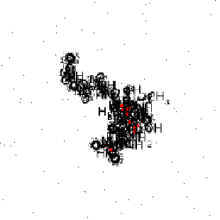 CSCCC[C@@H](NC(=O)[C@@H](CCSC)NC(=O)[C@@H](C)NC(=O)[C@@H](Cc1c[nH]c2ccccc12)NC(=O)[C@H]1CCCCN1C(=O)[C@@H](Cc1c[nH]cn1)NC(=O)[C@@H](Cc1c[nH]c2ccccc12)NC(=O)[C@H](N)Cc1ccccc1)C(=O)N[C@H](Cc1ccc(O)cc1)C(=O)N[C@H](CCCCN)C(=O)NCC(=O)NCC(=O)NCC(=O)NCC(=O)N[C@H](CSC1CC(=O)N(CC2CCC(C(=O)NC(=O)OCc3ccccc3)CC2)C1=O)C(N)=O